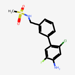 CS(=O)(=O)NCc1cccc(-c2cc(F)c(N)cc2Cl)c1